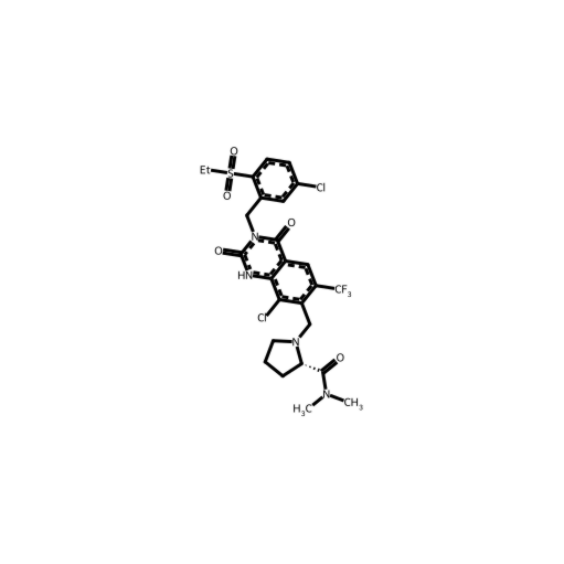 CCS(=O)(=O)c1ccc(Cl)cc1Cn1c(=O)[nH]c2c(Cl)c(CN3CCC[C@H]3C(=O)N(C)C)c(C(F)(F)F)cc2c1=O